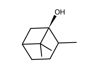 CC1CCC2C[C@@]1(O)C2(C)C